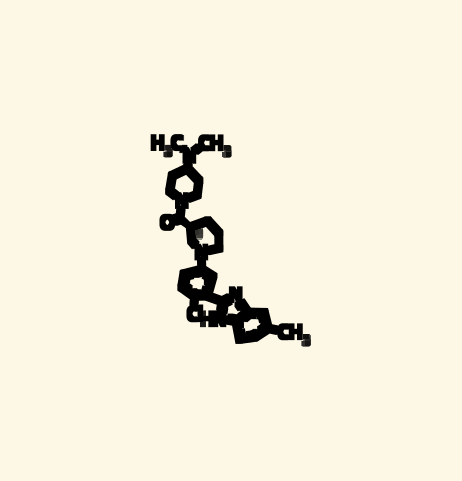 Cc1ccc2[nH]c(-c3cc(N4CCC[C@H](C(=O)N5CCC(N(C)C)CC5)C4)ccc3Cl)nc2c1